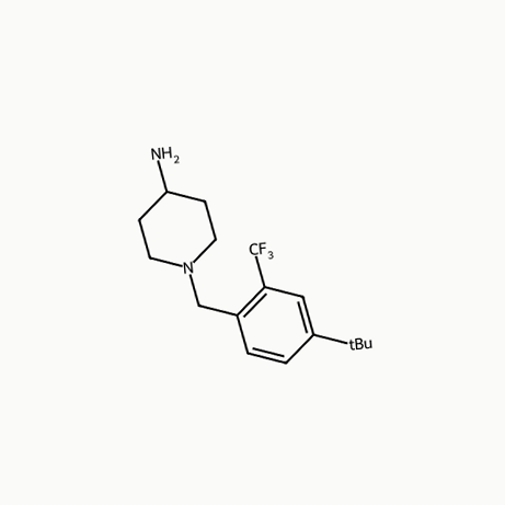 CC(C)(C)c1ccc(CN2CCC(N)CC2)c(C(F)(F)F)c1